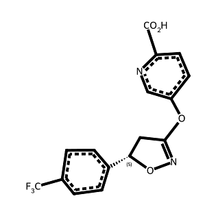 O=C(O)c1ccc(OC2=NO[C@H](c3ccc(C(F)(F)F)cc3)C2)cn1